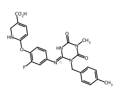 Cc1ccc(Cn2c(=O)n(C)c(=O)[nH]/c2=N\c2ccc(OC3=CC=C(C(=O)O)CN3)c(F)c2)cc1